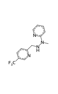 CN(NCc1ccc(C(F)(F)F)cn1)c1ccccn1